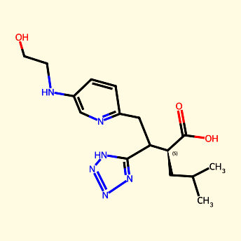 CC(C)C[C@H](C(=O)O)C(Cc1ccc(NCCO)cn1)c1nnn[nH]1